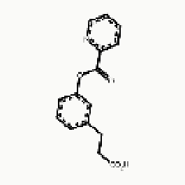 O=C(O)CCc1cccc(OC(=O)c2ccccn2)c1